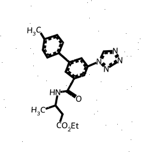 CCOC(=O)CC(C)NC(=O)c1cc(-c2ccc(C)cc2)cc(-n2cnnn2)c1